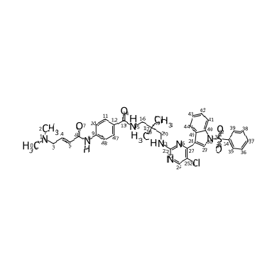 CN(C)C/C=C/C(=O)Nc1ccc(C(=O)NCC(C)(C)CNc2ncc(Cl)c(-c3cn(S(=O)(=O)c4ccccc4)c4ccccc34)n2)cc1